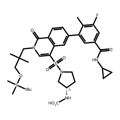 Cc1c(F)cc(C(=O)NC2CC2)cc1-c1ccc2c(=O)n(CC(C)(C)CO[Si](C)(C)C(C)(C)C)cc(S(=O)(=O)N3CC[C@H](NC(=O)O)C3)c2c1